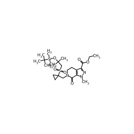 CCOC(=O)c1nn(C)c2c1CCN(CC1(S(=O)(=O)CC(C)(C)O[Si](C)(C)C(C)(C)C)CC1)C2=O